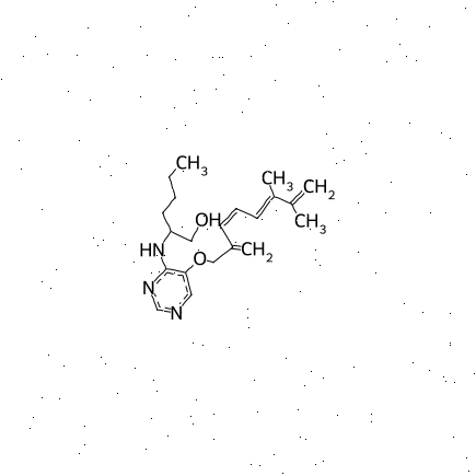 C=C(/C=C\C=C(/C)C(=C)C)COc1cncnc1NC(CO)CCCC